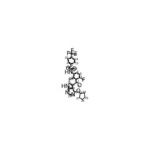 O=C(c1c(F)ccc(NS(=O)(=O)c2ccc(C(F)(F)F)cc2)c1F)c1c[nH]c2ncnc(OC3CCCC3)c12